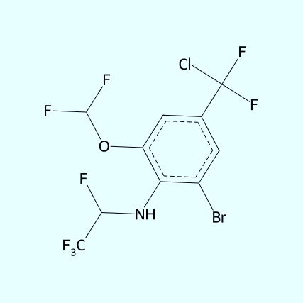 FC(F)Oc1cc(C(F)(F)Cl)cc(Br)c1NC(F)C(F)(F)F